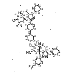 C[C@H]1C(=O)C(C#N)=C[C@@]2(C)c3c(c(-c4ccncn4)nn3-c3ccc(-c4cccc(C[C@H]5C(=O)C(C#N)=C[C@@]6(C)c7c(c(-c8ccncn8)nn7-c7ccc(C(F)(F)F)cn7)CC[C@H]56)c4)cn3)CC[C@H]12